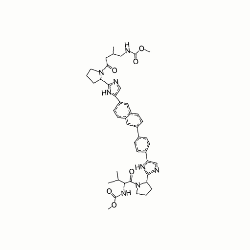 COC(=O)NCC(C)CC(=O)N1CCCC1c1ncc(-c2ccc3cc(-c4ccc(-c5cnc(C6CCCN6C(=O)C(NC(=O)OC)C(C)C)[nH]5)cc4)ccc3c2)[nH]1